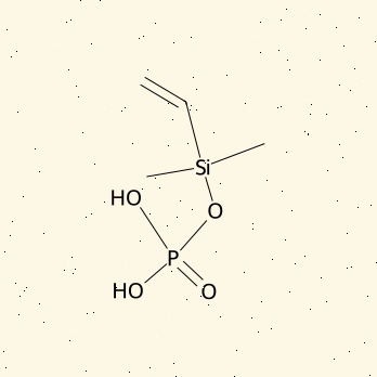 C=C[Si](C)(C)OP(=O)(O)O